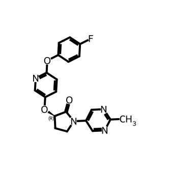 Cc1ncc(N2CC[C@@H](Oc3ccc(Oc4ccc(F)cc4)nc3)C2=O)cn1